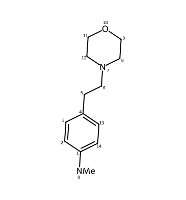 CNc1ccc(CCN2CCOCC2)cc1